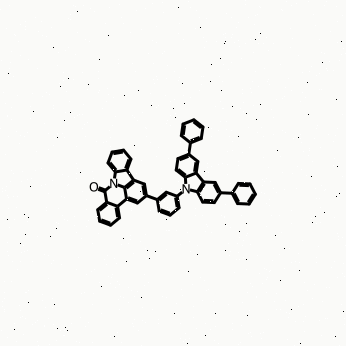 O=c1c2ccccc2c2cc(-c3cccc(-n4c5ccc(-c6ccccc6)cc5c5cc(-c6ccccc6)ccc54)c3)cc3c4ccccc4n1c23